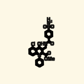 COC(=O)c1c(CNC(=O)c2ccc(S(N)(=O)=O)cc2)c(=O)c2c(Cl)cccc2n1-c1ccccc1